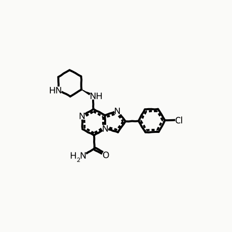 NC(=O)c1cnc(N[C@@H]2CCCNC2)c2nc(-c3ccc(Cl)cc3)cn12